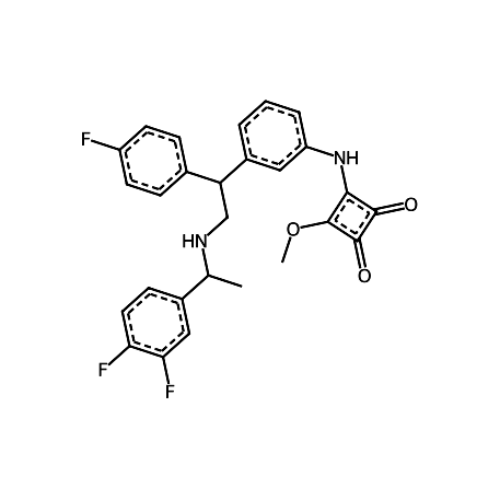 COc1c(Nc2cccc(C(CNC(C)c3ccc(F)c(F)c3)c3ccc(F)cc3)c2)c(=O)c1=O